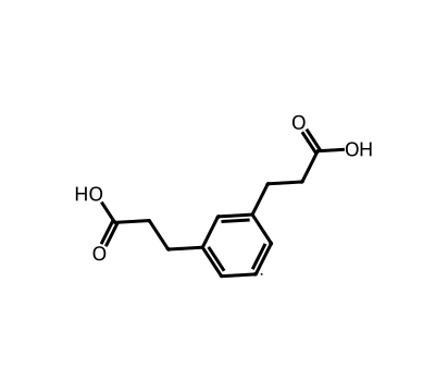 O=C(O)CCc1c[c]cc(CCC(=O)O)c1